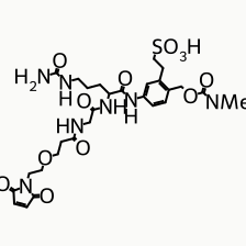 CNC(=O)OCc1ccc(NC(=O)C(CCCNC(N)=O)NC(=O)CNC(=O)CCOCCN2C(=O)C=CC2=O)cc1CCS(=O)(=O)O